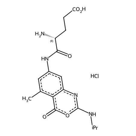 Cc1cc(NC(=O)[C@H](N)CCC(=O)O)cc2nc(NC(C)C)oc(=O)c12.Cl